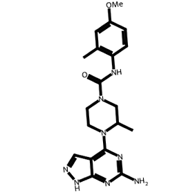 COc1ccc(NC(=O)N2CCN(c3nc(N)nc4[nH]ncc34)C(C)C2)c(C)c1